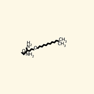 CC(C)CCCCCCCCCCOCCCC(CN)C1(N)CCO1